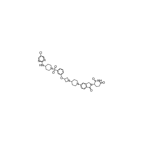 O=C1CCC(N2Cc3cc(N4CCC(N5CC(Oc6cccc(S(=O)(=O)N7CCC(Nc8ncc(Cl)cn8)CC7)c6)C5)CC4)ccc3C2=O)C(=O)N1